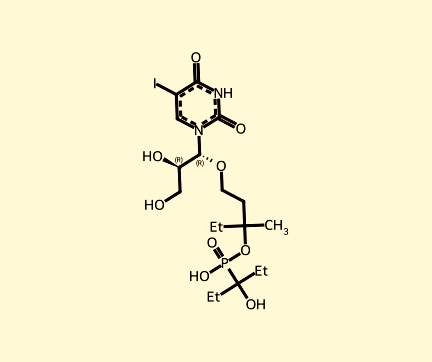 CCC(C)(CCO[C@H]([C@H](O)CO)n1cc(I)c(=O)[nH]c1=O)OP(=O)(O)C(O)(CC)CC